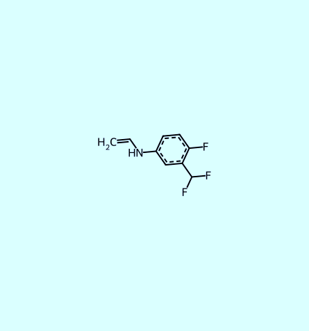 C=CNc1ccc(F)c(C(F)F)c1